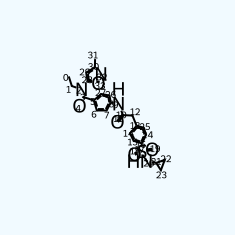 CCN(C(=O)c1ccc(NC(=O)Cc2ccc(S(=O)(=O)NC3CC3)cc2)cc1)c1cc(C)no1